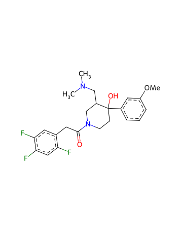 COc1cccc(C2(O)CCN(C(=O)Cc3cc(F)c(F)cc3F)CC2CN(C)C)c1